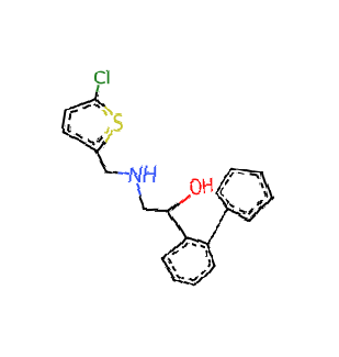 OC(CNCc1ccc(Cl)s1)c1ccccc1-c1ccccc1